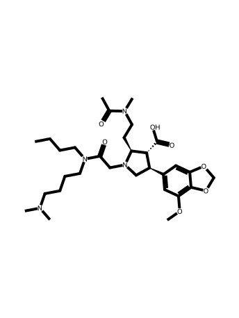 CCCCN(CCCCN(C)C)C(=O)CN1C[C@H](c2cc(OC)c3c(c2)OCO3)[C@@H](C(=O)O)[C@@H]1CCN(C)C(C)=O